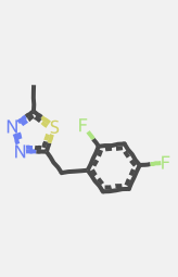 Cc1nnc(Cc2ccc(F)cc2F)s1